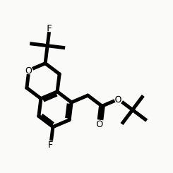 CC(C)(C)OC(=O)Cc1cc(F)cc2c1CC(C(C)(C)F)OC2